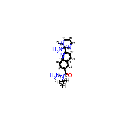 [2H]C([2H])([2H])N(N)C(=O)c1ccc2nc(C3(N)N=CC=CN3C)ccc2c1